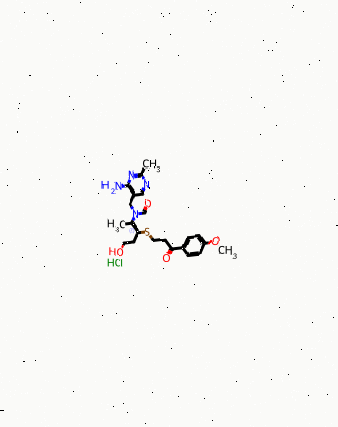 COc1ccc(C(=O)CCS/C(CCO)=C(/C)N(C=O)Cc2cnc(C)nc2N)cc1.Cl